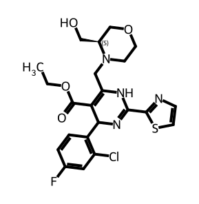 CCOC(=O)C1=C(CN2CCOC[C@@H]2CO)NC(c2nccs2)=NC1c1ccc(F)cc1Cl